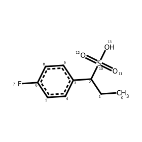 CCC(c1ccc(F)cc1)S(=O)(=O)O